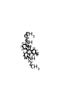 CCCCNc1nccc(-c2c(-c3ccc(F)cc3)nn3c(NCCOC)cccc23)n1